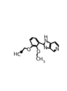 C#CCOc1cccc(-c2nc3cnccc3[nH]2)c1OCC